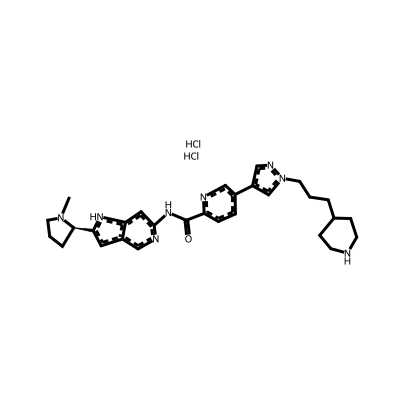 CN1CCC[C@@H]1c1cc2cnc(NC(=O)c3ccc(-c4cnn(CCCC5CCNCC5)c4)cn3)cc2[nH]1.Cl.Cl